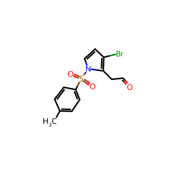 Cc1ccc(S(=O)(=O)n2ccc(Br)c2CC=O)cc1